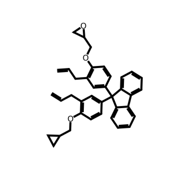 C=CCc1cc(C2(c3ccc(OCC4CO4)c(CC=C)c3)c3ccccc3-c3ccccc32)ccc1OCC1CC1